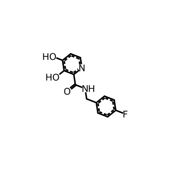 O=C(NCc1ccc(F)cc1)c1nccc(O)c1O